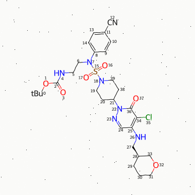 CC(C)(C)OC(=O)NCCN(c1ccc(C#N)cc1)S(=O)(=O)N1CCC(n2ncc(NC[C@@H]3CCCOC3)c(Cl)c2=O)CC1